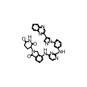 O=C1CCC(N2Cc3c(Nc4ccnc(Nc5cccc(-n6cc(-c7cnc8ccccc8n7)cn6)c5)n4)cccc3C2=O)C(=O)N1